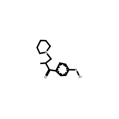 CCSc1ccc(C(=O)C(C)CN2CCCCC2)cc1